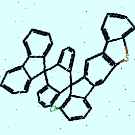 Clc1cccc2c1C1(c3cc4c(cc3-2)sc2ccccc24)c2ccccc2C2(c3ccccc3-c3ccccc32)c2ccccc21